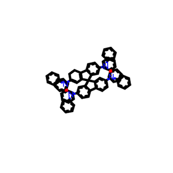 C1=C(N(c2ccccc2)c2ccccc2)CCC2=C1C1(c3cc(N(c4ccccc4)c4ccccc4)ccc32)c2cc(N(c3ccccc3)c3ccccc3)ccc2-c2ccc(N(c3ccccc3)c3ccccc3)cc21